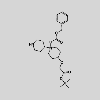 CC(C)(C)OC(=O)COC1CC[N+](OC(=O)OCc2ccccc2)(C2CCNCC2)CC1